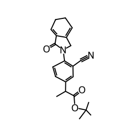 CC(C(=O)OC(C)(C)C)c1ccc(N2CC3=CCCC=C3C2=O)c(C#N)c1